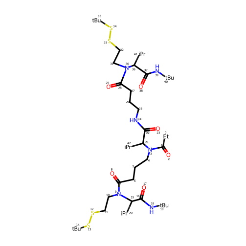 CCC(=O)N(CCCC(=O)N(CCSSC(C)(C)C)C(C(=O)NC(C)(C)C)C(C)C)C(C(=O)NCCCC(=O)N(CCSSC(C)(C)C)C(C(=O)NC(C)(C)C)C(C)C)C(C)C